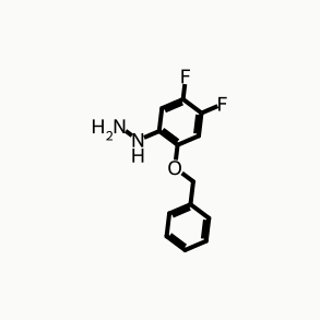 NNc1cc(F)c(F)cc1OCc1ccccc1